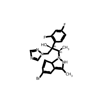 CC1=C2C=C(Br)C=CC2N([C@H](C)[C@](O)(Cn2cncn2)c2ccc(F)cc2F)N1